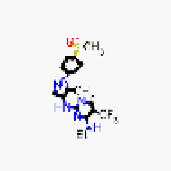 CCNc1nc(Nc2cnn(-c3ccc([S+](C)[O-])cc3)c2C)ncc1C(F)(F)F